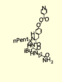 CCCCCC(=O)NC(Cc1ccc(OCOC(=O)c2ccncc2)cc1)C(=O)NC(C(=O)NC12CC1(C(N)=O)C2)C(C)CC